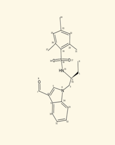 CC[C@@H](Cn1cc(C=O)c2ccccc21)NS(=O)(=O)c1c(C)cc(C)cc1C